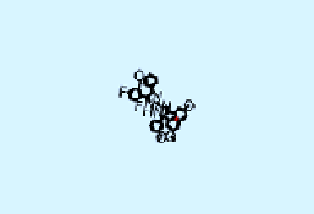 COc1cccc(C2=NC(=C3N=C(c4cccc(OC)c4)C(c4cccc(OC)c4)(c4cccc(OC)c4)N3)N=C2c2c(F)cc(F)cc2F)c1